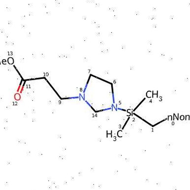 CCCCCCCCCC[Si](C)(C)N1CCN(CCC(=O)OC)C1